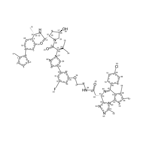 Cc1ccsc1-c1ccc([C@H](C)NC(=O)[C@@H]2C[C@@H](O)CN2C(=O)[C@@H](C(C)C)n2cc(-c3cc(F)cc(OCCNC(=O)C[C@@H]4N=C(c5ccc(Cl)cc5)c5c(sc(C)c5C)-n5c(C)nnc54)c3)cn2)cc1